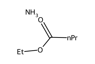 CCCC(=O)OCC.N